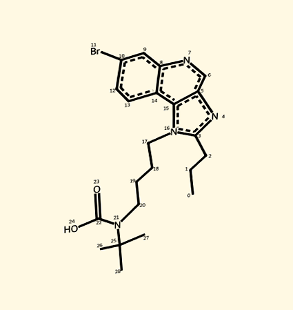 CCCc1nc2cnc3cc(Br)ccc3c2n1CCCCN(C(=O)O)C(C)(C)C